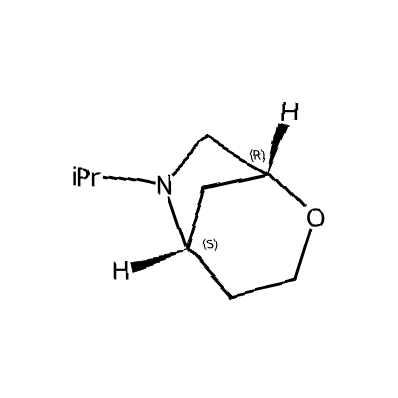 CC(C)N1C[C@H]2C[C@@H]1CCO2